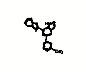 O=Cc1cncc(-c2cc(-c3cc4ccccc4s3)c3[nH]ncc3c2)c1